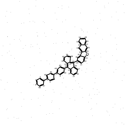 c1ccc(-c2ccc(-c3ccc(-c4c5ccccc5c(-c5ccc6oc7cc8ccccc8cc7c6c5)c5ccccc45)cc3)cc2)cc1